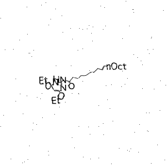 CCCCCCCCC=CCCCCCCCC(=O)Nc1nc(OCC)cc(OCC)n1